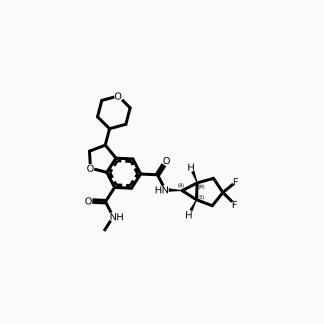 CNC(=O)c1cc(C(=O)N[C@H]2[C@@H]3CC(F)(F)C[C@@H]32)cc2c1OCC2C1CCOCC1